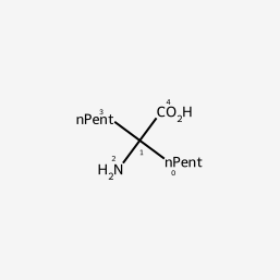 CCCCCC(N)(CCCCC)C(=O)O